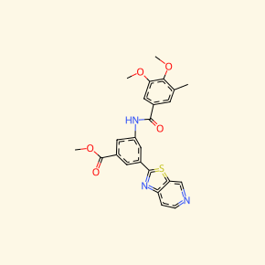 COC(=O)c1cc(NC(=O)c2cc(C)c(OC)c(OC)c2)cc(-c2nc3ccncc3s2)c1